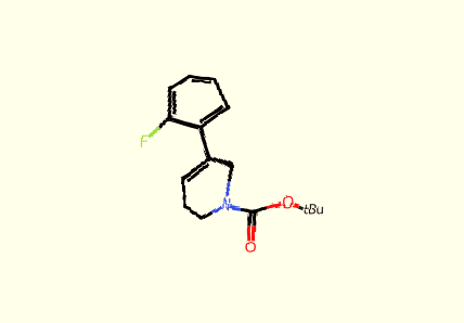 CC(C)(C)OC(=O)N1CCC=C(c2ccccc2F)C1